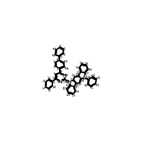 c1ccc(-c2ccc(-c3cc(-c4ccccc4)nc(-n4c5ccccc5c5cc6c(cc54)c4ccccc4n6-c4ccccc4)n3)cc2)cc1